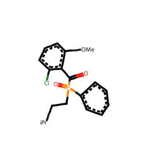 COc1cccc(Cl)c1C(=O)P(=O)(CCC(C)C)c1ccccc1